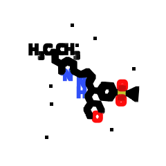 CC(C)=Cc1ccc(-c2ccc(C(CC3CCOCC3)c3ccc(S(=O)(=O)C4CC4)cc3)[nH]2)nc1